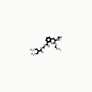 CCOB1Oc2c(cccc2C(=O)OCOC(=O)C(CC)CC)CC1NC=O